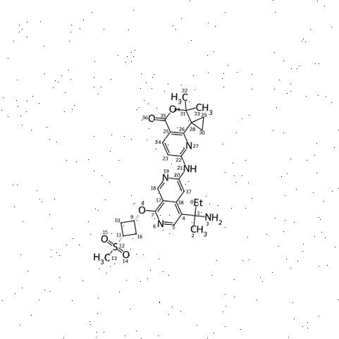 CCC(C)(N)c1cnc(O[C@H]2C[C@@H](S(C)(=O)=O)C2)c2cnc(Nc3ccc4c(n3)C3(CC3)C(C)(C)OC4=O)cc12